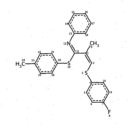 CC(=CSc1ccc(F)cc1)C(=Nc1ccccc1)Sc1ccc(C)cc1